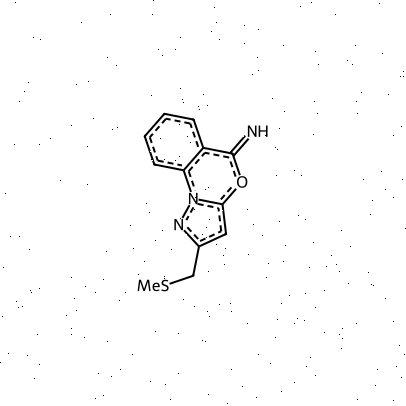 CSCc1cc2oc(=N)c3ccccc3n2n1